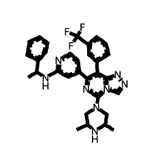 CC1CN(c2nc(-c3ccnc(NC(C)c4ccccc4)c3)c(-c3cccc(C(F)(F)F)c3)c3nncn23)CC(C)N1